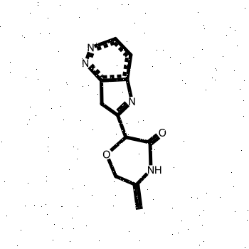 C=C1COC(C2=Nc3ccnnc3C2)C(=O)N1